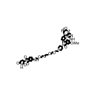 COc1cc(C(=O)NC2CCN(CCOCCOCCOCCOCCNc3ccc4c(c3)C(=O)N(C3CCC(=O)NC3=O)C4=O)CC2)c(F)cc1Nc1ncc2c(n1)N(C1CCCC1)CC(F)(F)C(=O)N2C